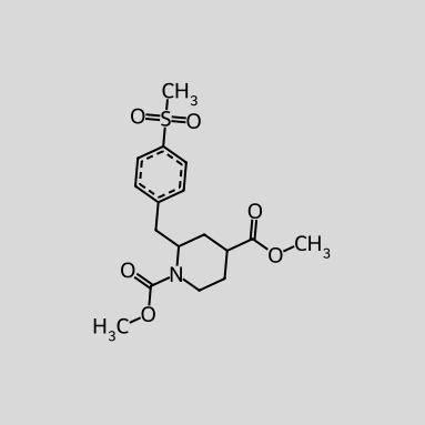 COC(=O)C1CCN(C(=O)OC)C(Cc2ccc(S(C)(=O)=O)cc2)C1